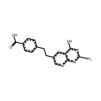 Nc1nc(O)c2cc(CCc3ccc(C(=O)O)cc3)cnc2n1